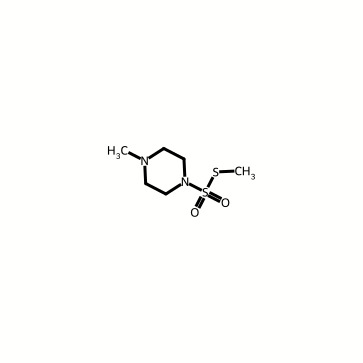 CSS(=O)(=O)N1CCN(C)CC1